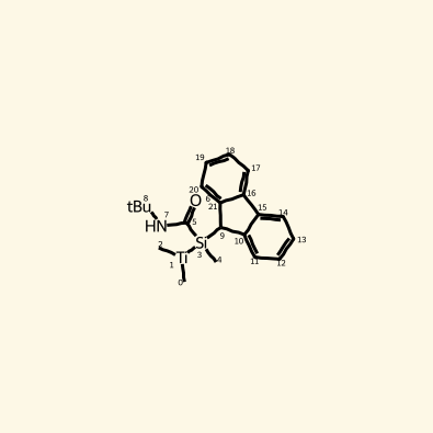 [CH3][Ti]([CH3])[Si](C)(C(=O)NC(C)(C)C)C1c2ccccc2-c2ccccc21